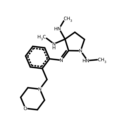 CNN1CCC(NC)(NC)C1=Nc1ccccc1CN1CCOCC1